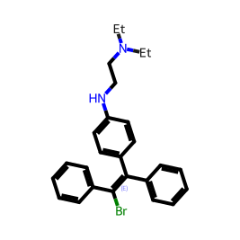 CCN(CC)CCNc1ccc(/C(=C(/Br)c2ccccc2)c2ccccc2)cc1